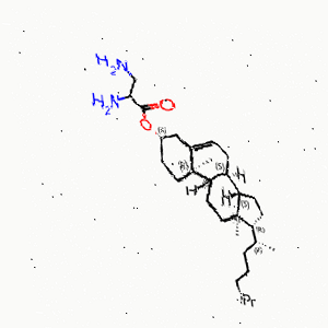 CC(C)CCC[C@@H](C)[C@H]1CC[C@H]2[C@@H]3CC=C4C[C@@H](OC(=O)C(N)CN)CC[C@]4(C)[C@H]3CC[C@]12C